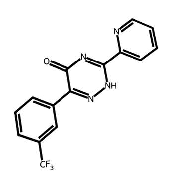 O=c1nc(-c2ccccn2)[nH]nc1-c1cccc(C(F)(F)F)c1